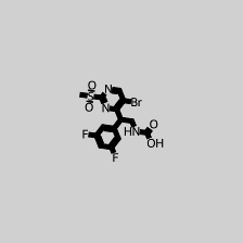 CS(=O)(=O)c1ncc(Br)c(C(CNC(=O)O)c2cc(F)cc(F)c2)n1